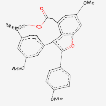 CCCCCCCCOC(=O)c1cc(OC)cc2oc(-c3ccc(OC)cc3)c(-c3cc(OC)cc(OC)c3)c12